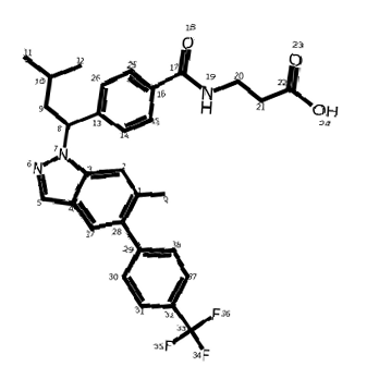 Cc1cc2c(cnn2C(CC(C)C)c2ccc(C(=O)NCCC(=O)O)cc2)cc1-c1ccc(C(F)(F)F)cc1